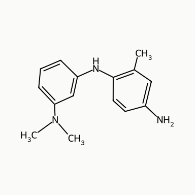 Cc1cc(N)ccc1Nc1cccc(N(C)C)c1